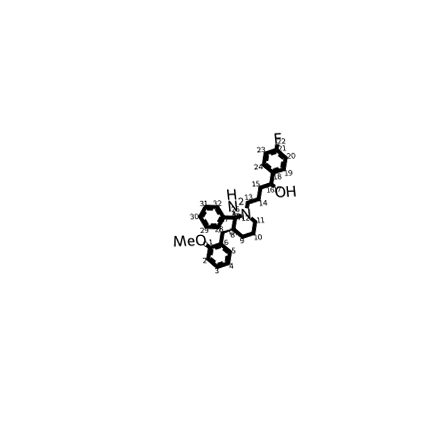 COc1ccccc1C[C@@H]1CCCN(CCCC(O)c2ccc(F)cc2)[C@]1(N)c1ccccc1